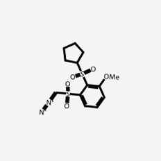 COc1cccc(S(=O)(=O)C=[N+]=[N-])c1S(=O)(=O)C1CCCC1